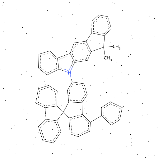 CC1(C)c2ccccc2-c2cc3c4ccccc4n(-c4ccc5c(c4)C4(c6ccccc6-c6ccccc64)c4cccc(-c6ccccc6)c4-5)c3cc21